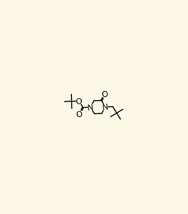 CC(C)(C)CN1CCN(C(=O)OC(C)(C)C)CC1=O